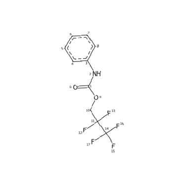 O=C(Nc1ccccc1)OCC(F)(F)C(F)(F)F